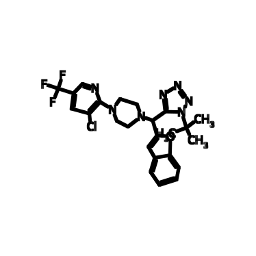 CC(C)(C)n1nnnc1C(c1cc2ccccc2o1)N1CCN(c2ncc(C(F)(F)F)cc2Cl)CC1